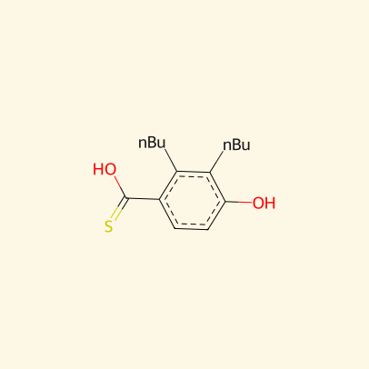 CCCCc1c(O)ccc(C(O)=S)c1CCCC